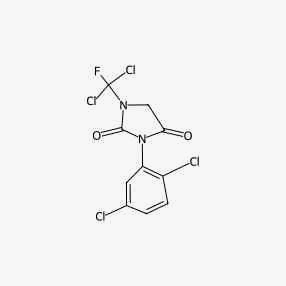 O=C1CN(C(F)(Cl)Cl)C(=O)N1c1cc(Cl)ccc1Cl